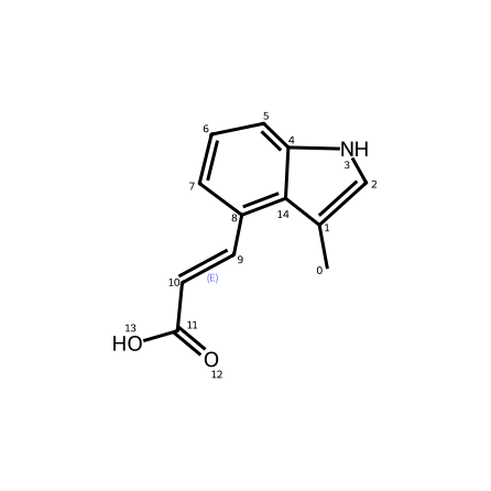 Cc1c[nH]c2cccc(/C=C/C(=O)O)c12